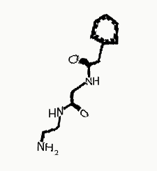 NCCNC(=O)CNC(=O)Cc1ccccc1